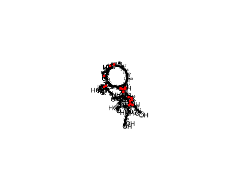 CO[C@H]1C[C@@H]2CC[C@@H](C)[C@@](O)(O2)C(=O)C(=O)N2CCCC[C@H]2C(=O)C[C@H]([C@H](C)C[C@@H]2CC[C@@H](O)[C@H](OC)C2)CC(=O)[C@H](C)/C=C(\C)[C@@H](OC(=O)OCCSSC[C@@H](C)NC(=O)[C@H](CCC(=O)NCCCC[C@H](O)CO)NC(=O)[C@H](CCC(=O)O)NC(=O)[C@H](CCC(=O)NCCCC[C@H](O)CO)NC(=O)[C@H](CCC(=O)O)NC(=O)[C@H](CCC(=O)NCCCC[C@H](O)CO)NC(C)=O)[C@@H](OC)C(=O)[C@H](C)C[C@H](C)/C=C/C=C/C=C/1C